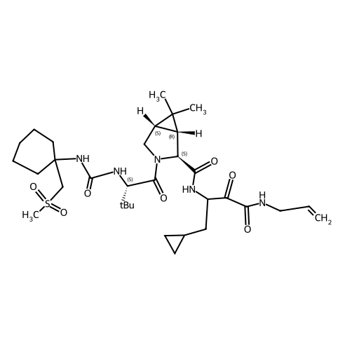 C=CCNC(=O)C(=O)C(CC1CC1)NC(=O)[C@@H]1[C@@H]2[C@H](CN1C(=O)[C@@H](NC(=O)NC1(CS(C)(=O)=O)CCCCC1)C(C)(C)C)C2(C)C